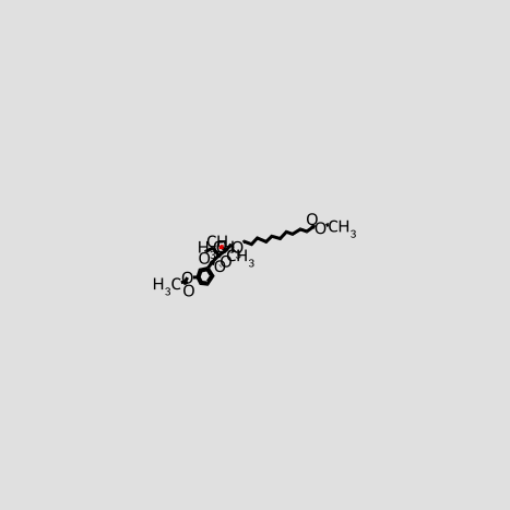 CCOC(=O)CCCCCCCCCCOCC(C)(C)C12OOC1(c1cccc(OC(C)=O)c1)OCC2(C)C